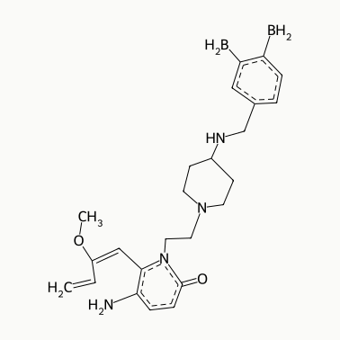 Bc1ccc(CNC2CCN(CCn3c(/C=C(\C=C)OC)c(N)ccc3=O)CC2)cc1B